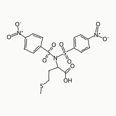 CSCCC(C(=O)O)N(S(=O)(=O)c1ccc([N+](=O)[O-])cc1)S(=O)(=O)c1ccc([N+](=O)[O-])cc1